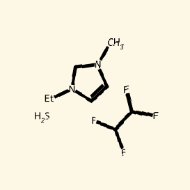 CCN1C=CN(C)C1.FC(F)C(F)F.S